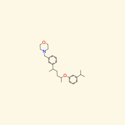 CC(CCC(C)c1cccc(CN2CCOCC2)c1)Oc1cccc(C(C)C)c1